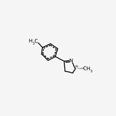 Cc1ccc(C2=N[C@H](C)CC2)cc1